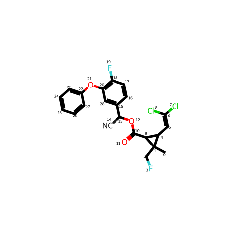 CC1(CF)C(C=C(Cl)Cl)C1C(=O)OC(C#N)c1ccc(F)c(Oc2ccccc2)c1